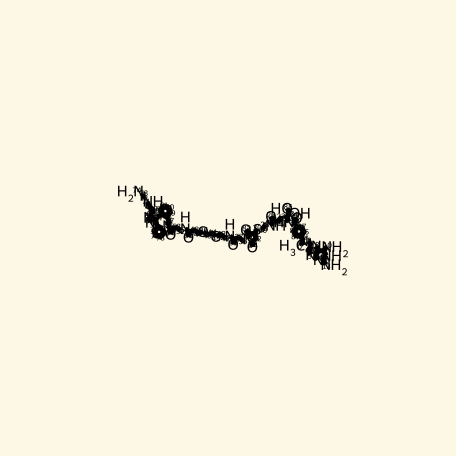 CN(Cc1cnc2c(n1)C(N)NC(N)=N2)c1ccc(C(=O)N[C@@H](CCC(=O)NCCSC2CC(=O)N(CCC(=O)NCCOCCOCCC(=O)NCCC(=O)N3Cc4ccccc4-c4c(nnn4CCNCCN)-c4ccccc43)C2=O)C(O)O)cc1